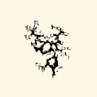 COc1cc(-n2c(C(C)C)c(C(=O)C(C)C(=O)O)c3cc4c(cnn4C(=O)C(C)(C)C)cc32)ccc1F